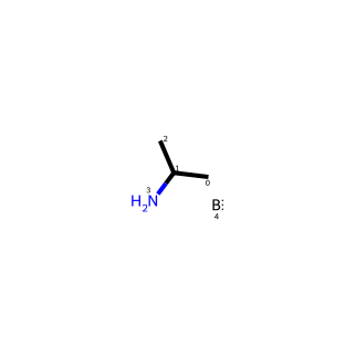 CC(C)N.[B]